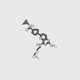 CCOCCNc1nc(N)nc2ccc(-c3ccc(C(=O)NC4CC4)cc3)nc12